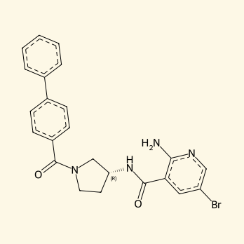 Nc1ncc(Br)cc1C(=O)N[C@@H]1CCN(C(=O)c2ccc(-c3ccccc3)cc2)C1